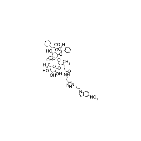 CC(CCC(=O)NCCc1cn(CCCn2ccc3cc([N+](=O)[O-])ccc32)nn1)C(CO[C@@H]1OC(CO)[C@H](O)C(O[C@@H](CC2CCCCC2)C(=O)O)C1OC(=O)c1ccccc1)O[C@@H]1OC(C)[C@@H](O)C(O)C1O